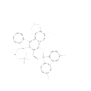 COc1ccc(C2(c3ccc(C)cc3)C=Cc3c4c(c5c6c(c(OC)cc5c3O2)N(F)CC6)-c2ccccc2C42CC(C)(C)CC(C)(C)C2)cc1